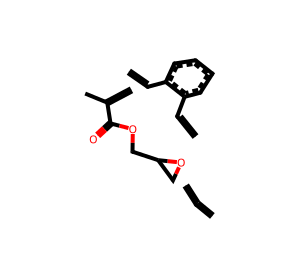 C=C(C)C(=O)OCC1CO1.C=C=C.C=Cc1ccccc1C=C